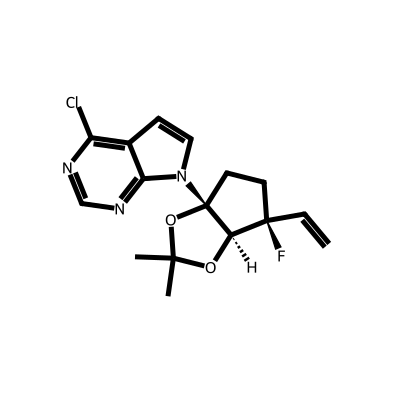 C=C[C@@]1(F)CC[C@@]2(n3ccc4c(Cl)ncnc43)OC(C)(C)O[C@H]12